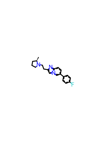 C[C@@H]1CCCN1CCc1cn2cc(-c3ccc(F)cc3)ccc2n1